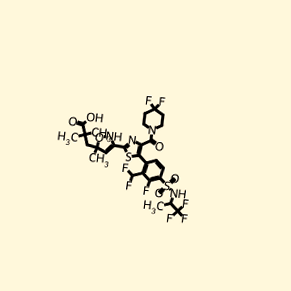 CC(NS(=O)(=O)c1ccc(-c2sc(C3=CC(C)(CC(C)(C)C(=O)O)ON3)nc2C(=O)N2CCC(F)(F)CC2)c(C(F)F)c1F)C(F)(F)F